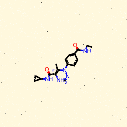 C=NN(/C(C)=C(\N)C(=O)NC1CC1)c1ccc(C(=O)NCC)cc1